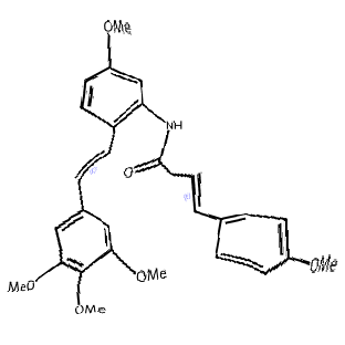 COc1ccc(/C=C/C(=O)Nc2cc(OC)ccc2/C=C/c2cc(OC)c(OC)c(OC)c2)cc1